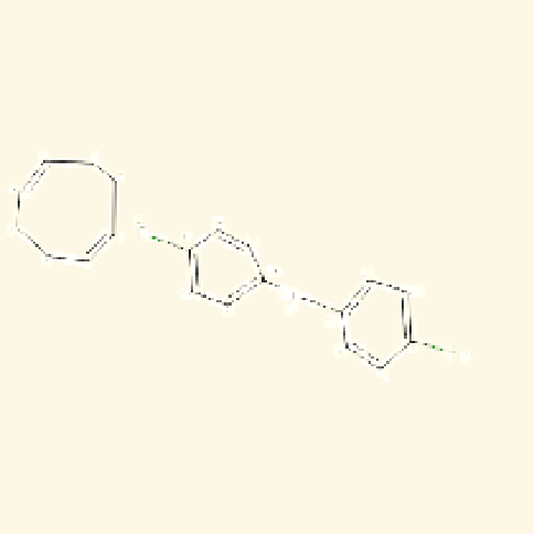 C1=CCCC=CCC1.Fc1cc[c]([Pt][c]2ccc(F)cc2)cc1